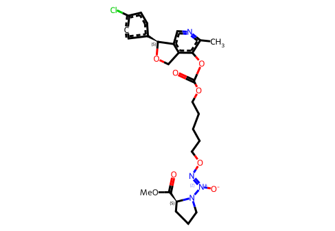 COC(=O)[C@@H]1CCCN1/[N+]([O-])=N/OCCCCCOC(=O)Oc1c(C)ncc2c1CO[C@H]2c1ccc(Cl)cc1